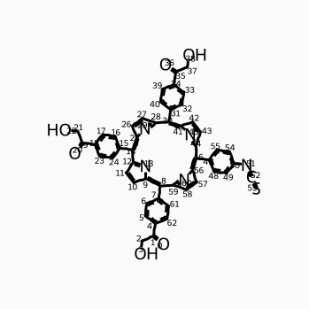 O=C(CO)c1ccc(C2=C3C=CC(=N3)C(c3ccc(C(=O)CO)cc3)=C3C=CC(=N3)C(c3ccc(C(=O)CO)cc3)=C3C=CC(=N3)C(c3ccc(N=C=S)cc3)=C3C=CC2=N3)cc1